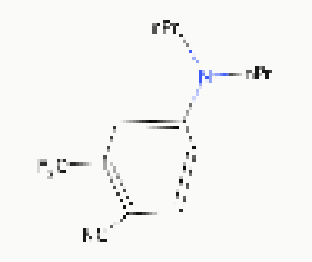 CCCN(CCC)c1ccc(C#N)c(C(F)(F)F)c1